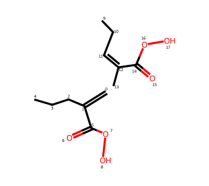 C=C(CCC)C(=O)OO.CCC=C(C)C(=O)OO